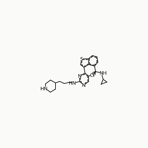 O=C(NC1CC1)c1cccc2scc(-c3nc(NCCCC4CCNCC4)ncc3Cl)c12